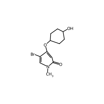 Cn1cc(Br)c(OC2CCC(O)CC2)cc1=O